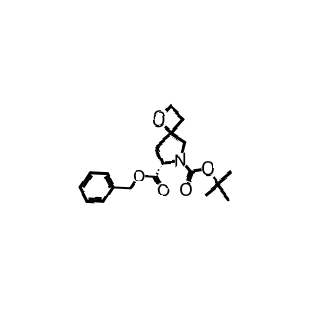 CC(C)(C)OC(=O)N1CC2(CCO2)C[C@H]1C(=O)OCc1ccccc1